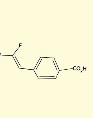 O=C(O)c1ccc(C=C(F)F)cc1